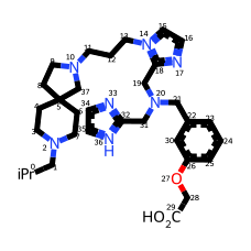 CC(C)CN1CCC2(CC1)CCN(CCCn1ccnc1CN(Cc1cccc(OCC(=O)O)c1)Cc1ncc[nH]1)C2